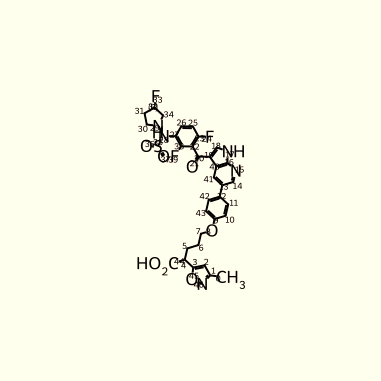 Cc1cc(C(CCCOc2ccc(-c3cnc4[nH]cc(C(=O)c5c(F)ccc(N(N6CC[C@@H](F)C6)[SH](=O)=O)c5F)c4c3)cc2)C(=O)O)on1